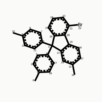 Cc1ccc(C2(c3ccc(C)cc3)c3cc(C)ccc3-c3c(Br)cccc32)cc1